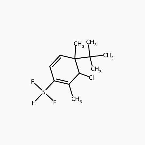 CC1=C(S(F)(F)F)C=CC(C)(C(C)(C)C)C1Cl